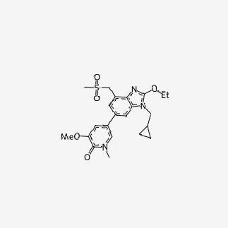 CCOc1nc2c(CS(C)(=O)=O)cc(-c3cc(OC)c(=O)n(C)c3)cc2n1CC1CC1